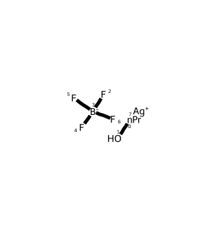 CCCO.F[B-](F)(F)F.[Ag+]